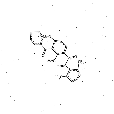 COc1ccc([PH](=O)C(=O)c2c(C(F)(F)F)cccc2C(F)(F)F)c(OC)c1C(=O)c1ccccc1